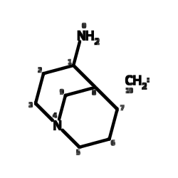 NC1CCN2CCCC1C2.[CH2]